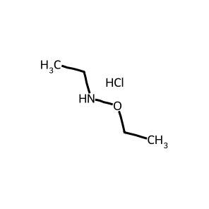 CCNOCC.Cl